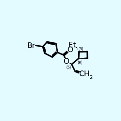 C=C[C@H](OC(=O)c1ccc(Br)cc1)[C@@H]1CC[C@H]1CC